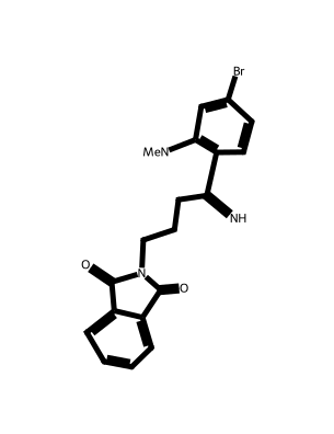 CNc1cc(Br)ccc1C(=N)CCCN1C(=O)c2ccccc2C1=O